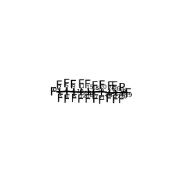 FC(F)(F)C(F)(F)C(F)(F)C(F)(F)C(F)(F)C(F)(F)C(F)(F)C(F)(F)C(F)(F)C(F)(F)[P]